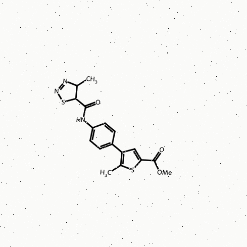 COC(=O)c1cc(-c2ccc(NC(=O)C3SN=NC3C)cc2)c(C)s1